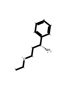 CCOCC[C@@H](N)c1ccccc1